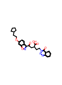 O=C(CC(CCn1nnc2ccccc2c1=O)C(=O)O)c1noc2cc(OCCC3CCCC3)ccc12